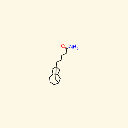 NC(=O)CCCCC12CC3CCCC(C1)C(C3)C2